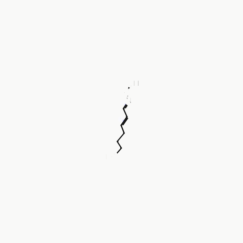 [CH2]CCC/C=C/C=N/OC